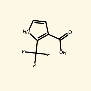 O=C(O)c1cc[nH]c1C(F)(F)F